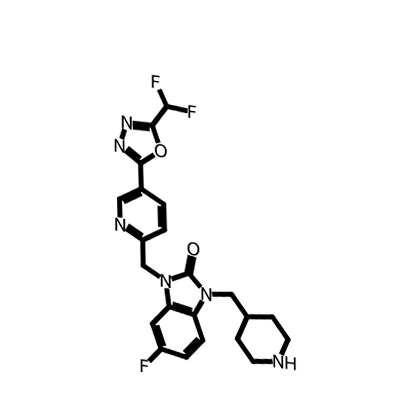 O=c1n(Cc2ccc(-c3nnc(C(F)F)o3)cn2)c2cc(F)ccc2n1CC1CCNCC1